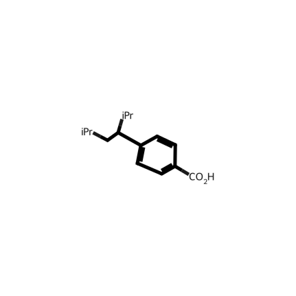 CC(C)CC(c1ccc(C(=O)O)cc1)C(C)C